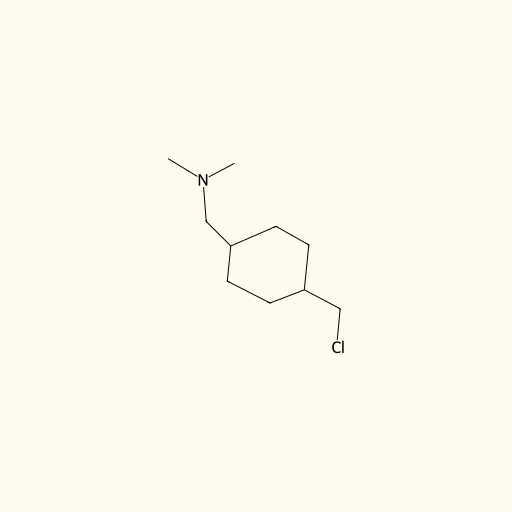 CN(C)CC1CCC(CCl)CC1